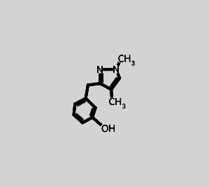 Cc1cn(C)nc1Cc1cccc(O)c1